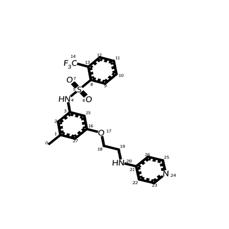 Cc1cc(NS(=O)(=O)c2ccccc2C(F)(F)F)cc(OCCNc2ccncc2)c1